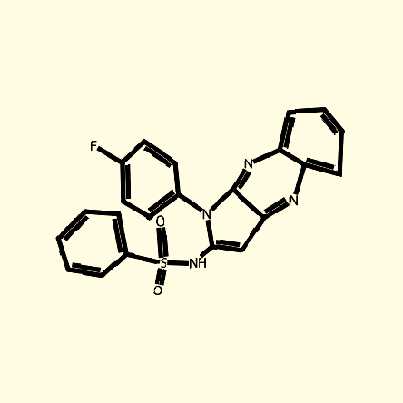 O=S(=O)(Nc1cc2nc3ccccc3nc2n1-c1ccc(F)cc1)c1ccccc1